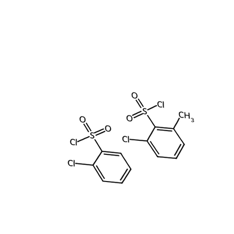 Cc1cccc(Cl)c1S(=O)(=O)Cl.O=S(=O)(Cl)c1ccccc1Cl